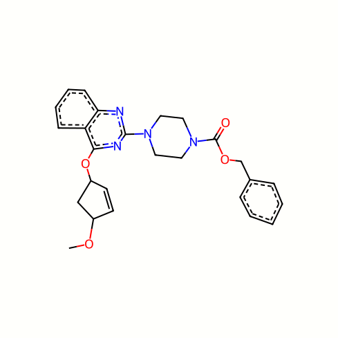 COC1C=CC(Oc2nc(N3CCN(C(=O)OCc4ccccc4)CC3)nc3ccccc23)C1